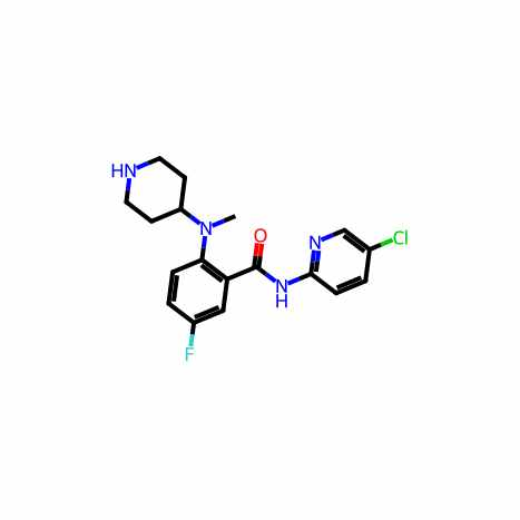 CN(c1ccc(F)cc1C(=O)Nc1ccc(Cl)cn1)C1CCNCC1